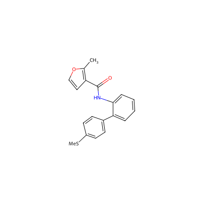 CSc1ccc(-c2ccccc2NC(=O)c2ccoc2C)cc1